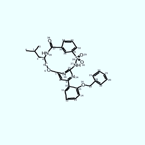 CC(C)C[C@@H]1COc2cc(-c3ccccc3OCc3ccccc3)nc(n2)NS(=O)(=O)c2cccc(c2)C(=O)N1